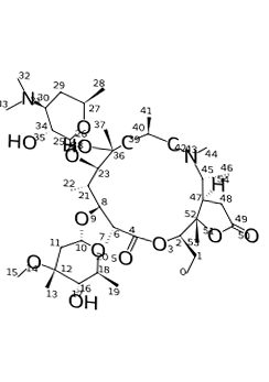 CC[C@H]1OC(=O)[C@H](C)[C@@H](O[C@H]2C[C@@](C)(OC)[C@@H](O)[C@H](C)O2)[C@H](C)[C@@H](O[C@@H]2O[C@H](C)C[C@H](N(C)C)[C@H]2O)[C@](C)(O)C[C@@H](C)CN(C)[C@H](C)[C@H]2CC(=O)O[C@@]21C